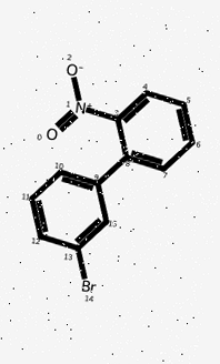 O=[N+]([O-])c1ccccc1-c1cccc(Br)c1